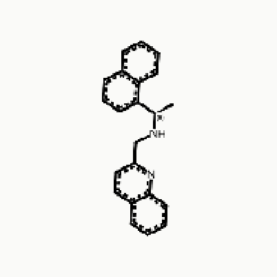 C[C@@H](NCc1ccc2ccccc2n1)c1cccc2ccccc12